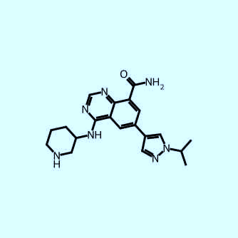 CC(C)n1cc(-c2cc(C(N)=O)c3ncnc(NC4CCCNC4)c3c2)cn1